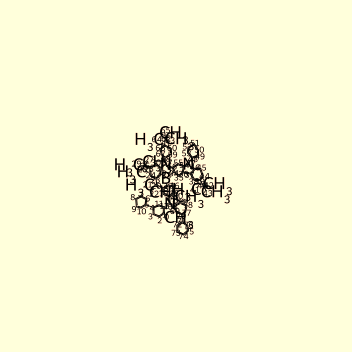 Cc1ccc(-c2ccccc2)cc1N(c1ccc2c(c1)C(C)(C)c1cc(C(C)(C)C)cc3c1B2c1cc2c4cc(C(C)(C)C)ccc4n(-c4ccccc4)c2cc1N3c1ccc(C(C)(C)C)cc1)c1cc(-c2ccccc2)ccc1C